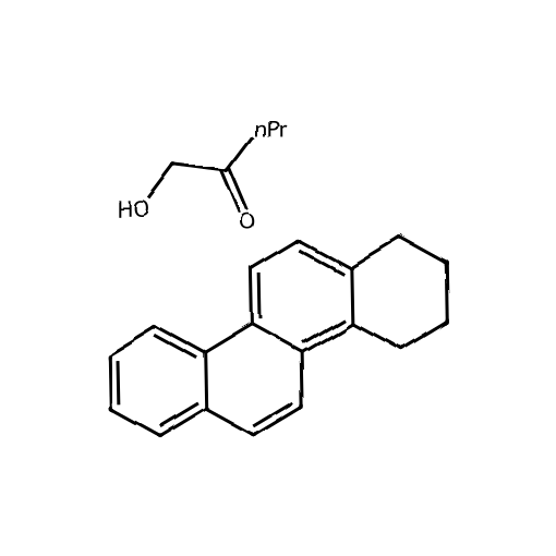 CCCC(=O)CO.c1ccc2c(c1)ccc1c3c(ccc12)CCCC3